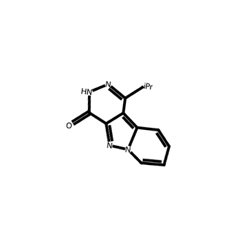 CC(C)c1n[nH]c(=O)c2nn3ccccc3c12